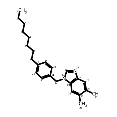 CCCCCCCCc1ccc(Cn2cnc3cc(C)c(C)cc32)cc1